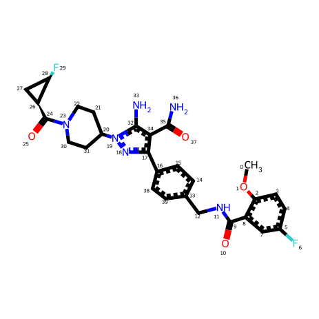 COc1ccc(F)cc1C(=O)NCc1ccc(-c2nn(C3CCN(C(=O)[C@H]4C[C@H]4F)CC3)c(N)c2C(N)=O)cc1